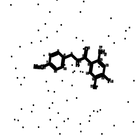 COc1ccc(CNC(=O)c2cc(Br)c(F)cc2N)cc1